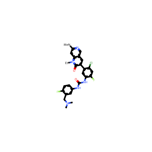 CCn1c(=O)c(-c2cc(NC(=O)Nc3ccc(F)c(CN(C)C)c3)c(F)cc2Cl)cc2cnc(NC)cc21